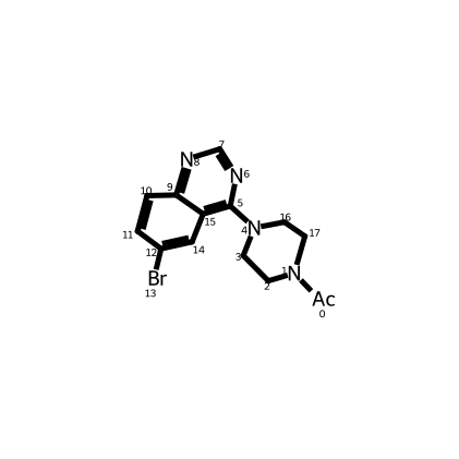 CC(=O)N1CCN(c2ncnc3ccc(Br)cc23)CC1